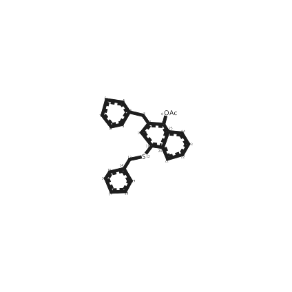 CC(=O)Oc1c(Cc2ccccc2)cc(SCc2ccccc2)c2ccccc12